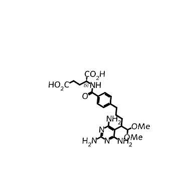 COC(OC)C(CCCc1ccc(C(=O)N[C@@H](CCC(=O)O)C(=O)O)cc1)c1c(N)nc(N)nc1N